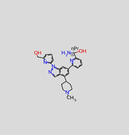 CCC[C@](N)(O)c1cccc(-c2cc(C3CCN(C)CC3)c3cnn(-c4cccc(CO)n4)c3c2)n1